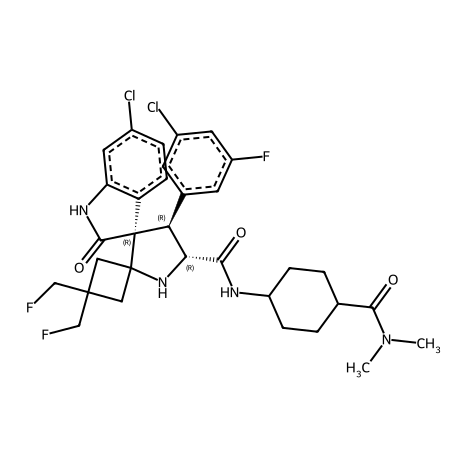 CN(C)C(=O)C1CCC(NC(=O)[C@@H]2NC3(CC(CF)(CF)C3)[C@@]3(C(=O)Nc4cc(Cl)ccc43)[C@H]2c2cc(F)cc(Cl)c2)CC1